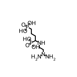 NN(N)CCNC(CCCP(=O)(O)O)P(=O)(O)O